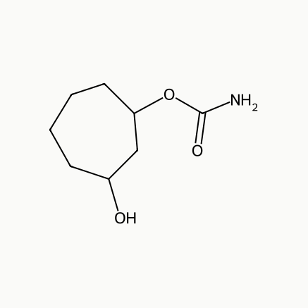 NC(=O)OC1CCCCC(O)C1